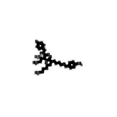 CCC(C)C(NC(=O)C(CCCCOCc1ccc(C)cc1)OCCCOC)C(=O)NCc1ccc(F)cc1